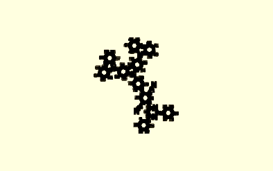 N#Cc1cc(-c2cc(-c3ccccc3)nc(-c3ccccc3)n2)c(C#N)cc1-c1ccc(-n2c3ccc(-n4c5ccccc5c5ccccc54)cc3c3cc(-n4c5ccccc5c5ccccc54)ccc32)cc1